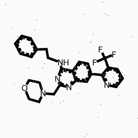 FC(F)(F)c1cccnc1-c1ccc2c(NCCc3ccccc3)nc(CN3CCOCC3)nc2c1